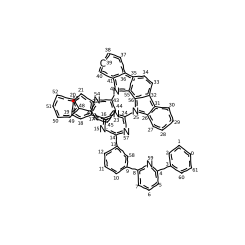 c1ccc(-c2cccc(-c3cccc(-c4nc(-c5ccccc5)nc(-n5c6ccccc6c6ccc7c8ccccc8n(-c8cccc(-c9ccccc9)n8)c7c65)n4)c3)n2)cc1